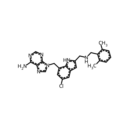 Cc1cccc(C)c1CNCc1cc2cc(Cl)cc(Cn3cnc4c(N)ncnc43)c2[nH]1